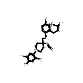 O=C=NC1(COc2ccc(F)c3c2CCC(=O)N3)CCN(c2cc(F)c(Cl)cc2Cl)CC1